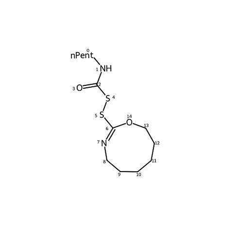 CCCCCNC(=O)SS/C1=N/CCCCCCO1